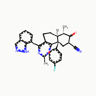 Cc1nc(-c2cccc3cn[nH]c23)c2c(n1)[C@@]1(c3ccc(F)cc3)CC(C#N)C(=O)[C@@H](C)[C@@H]1CC2